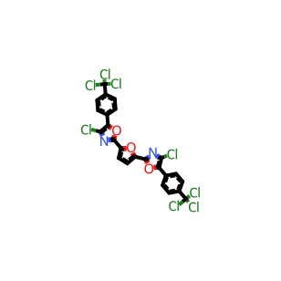 Clc1nc(-c2ccc(-c3nc(Cl)c(-c4ccc(C(Cl)(Cl)Cl)cc4)o3)o2)oc1-c1ccc(C(Cl)(Cl)Cl)cc1